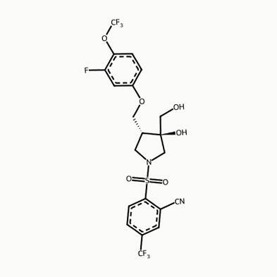 N#Cc1cc(C(F)(F)F)ccc1S(=O)(=O)N1C[C@H](COc2ccc(OC(F)(F)F)c(F)c2)[C@](O)(CO)C1